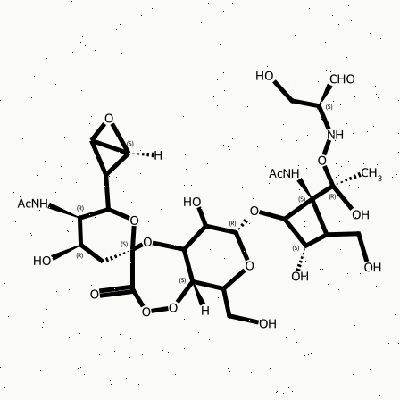 CC(=O)N[C@H]1C(C2C3O[C@H]32)O[C@@]2(C[C@H]1O)OC1C(O)[C@H](OC3[C@@H](O)C(CO)[C@@]3(NC(C)=O)[C@](C)(O)ON[C@H](C=O)CO)OC(CO)[C@@H]1OOC2=O